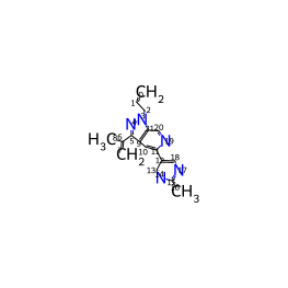 C=CCn1nc(C(=C)C)c2cc(-c3cnc(C)nc3)ncc21